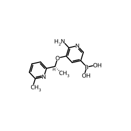 Cc1cccc([C@@H](C)Oc2cc(B(O)O)cnc2N)n1